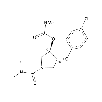 CNC(=O)O[C@@H]1CN(C(=O)N(C)C)C[C@H]1Oc1ccc(Cl)cc1